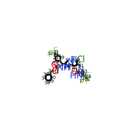 O=C(N[C@H](c1cn2nc(Cl)c(CN3C[C@@H](C(F)(F)F)NC3=O)cc2n1)C1CC2C(C1)C2(F)F)OCc1ccccc1